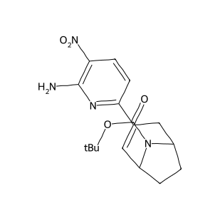 CC(C)(C)OC(=O)N1C2C=C(c3ccc([N+](=O)[O-])c(N)n3)CC1CC2